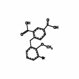 COc1c(Br)cccc1Cc1ccc(C(=O)O)cc1C(=O)O